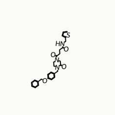 O=C(CCC(=O)N1CCN(Cc2ccc(OCc3ccccc3)cc2)C(=O)C1)NCc1cccs1